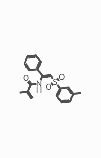 C=C(C)C(=O)NC(=CS(=O)(=O)c1cccc(C)c1)c1ccccc1